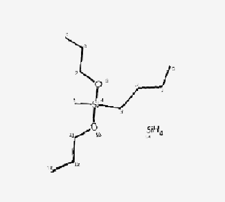 CCCC[Si](C)(OCCC)OCCC.[SiH4]